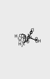 C=C/C=C\C=C\CNCC(C)N(CC=C)C(=O)c1ccc(/N=C/c2ccc(Cl)cc2)c(/N=C/CCCCC(=O)O)c1